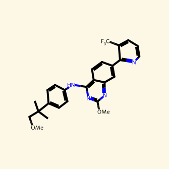 COCC(C)(C)c1ccc(Nc2nc(OC)nc3cc(-c4ncccc4C(F)(F)F)ccc23)cc1